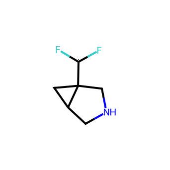 F[C](F)C12CNCC1C2